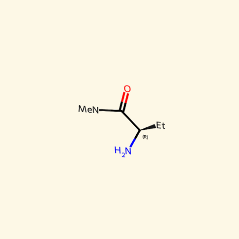 CC[C@@H](N)C(=O)NC